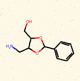 NCC1OC(c2ccccc2)OC1CO